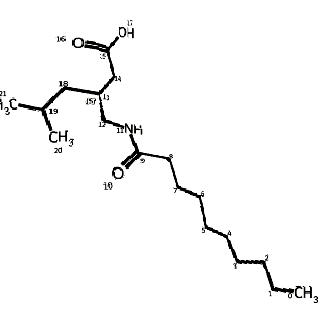 CCCCCCCCCC(=O)NC[C@H](CC(=O)O)CC(C)C